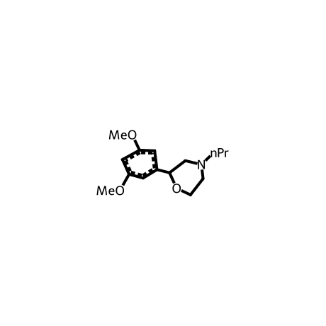 CCCN1CCOC(c2cc(OC)cc(OC)c2)C1